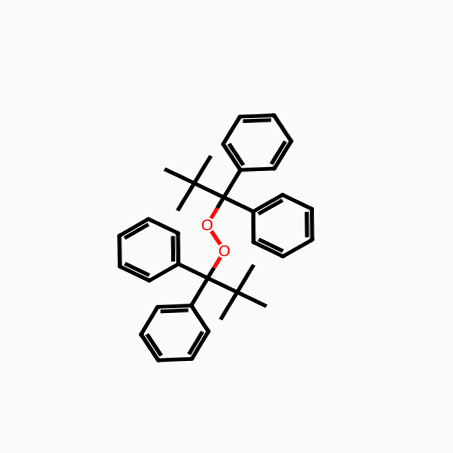 CC(C)(C)C(OOC(c1ccccc1)(c1ccccc1)C(C)(C)C)(c1ccccc1)c1ccccc1